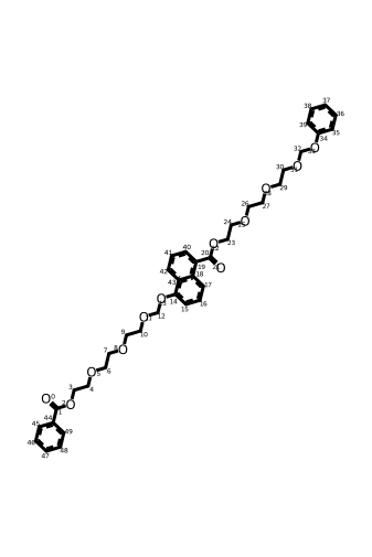 O=C(OCCOCCOCCOCOc1cccc2c(C(=O)OCCOCCOCCOCOc3ccccc3)cccc12)c1ccccc1